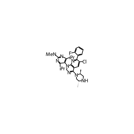 CNc1nc(C(C)C)c(N2CN=C(N3C[C@@H](C)NC[C@@H]3C)c3cc(Cl)c(-c4ccccc4F)nc32)c(C(C)C)n1